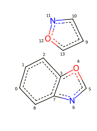 c1ccc2ocnc2c1.c1cnoc1